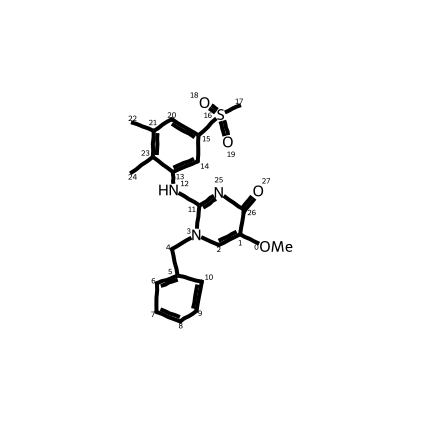 COc1cn(Cc2ccccc2)c(Nc2cc(S(C)(=O)=O)cc(C)c2C)nc1=O